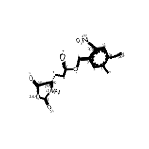 Cc1cc(COC(=O)CC[C@@H]2NC(=O)OC2=O)c([N+](=O)[O-])cc1C